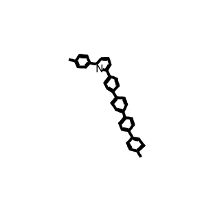 Cc1ccc(-c2ccc(-c3ccc(-c4ccc(-c5cccc(-c6ccc(C)cc6)n5)cc4)cc3)cc2)cc1